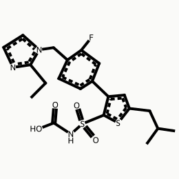 CCc1nccn1Cc1ccc(-c2cc(CC(C)C)sc2S(=O)(=O)NC(=O)O)cc1F